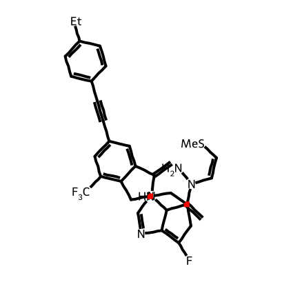 C=C(C(C1=C(/F)CCCN/C=N\1)N1Cc2c(cc(C#Cc3ccc(CC)cc3)cc2C(F)(F)F)C1=C)N(N)/C=C\SC